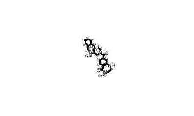 CC(C)N1CCNc2cc(C(=O)N3CC[C@]4(Cc5ccccc5CN4)[C@H](O)C3)ccc2C1=O